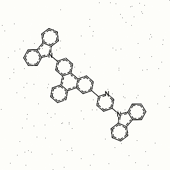 c1ccc2c(c1)c1cc(-c3ccc(-n4c5ccccc5c5ccccc54)cn3)ccc1c1ccc(-n3c4ccccc4c4ccccc43)cc21